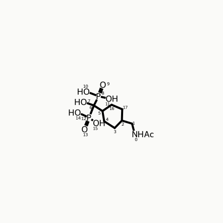 CC(=O)NCC1CCC(C(O)(P(=O)(O)O)P(=O)(O)O)CC1